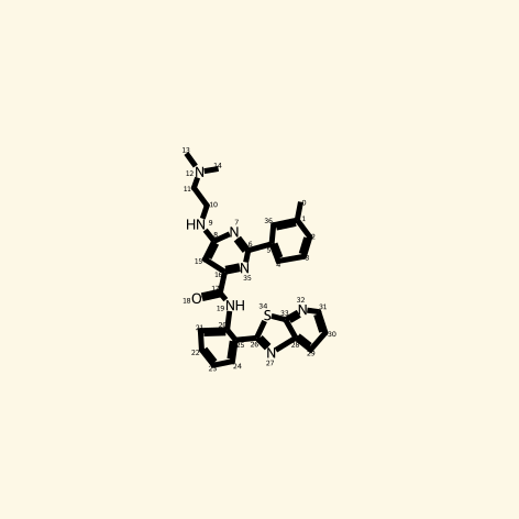 Cc1cccc(-c2nc(NCCN(C)C)cc(C(=O)Nc3ccccc3-c3nc4cccnc4s3)n2)c1